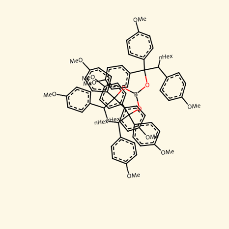 CCCCCCC(c1ccc(OC)cc1)C(OB(OC(c1ccc(OC)cc1)(c1ccc(OC)cc1)C(CCCCCC)c1ccc(OC)cc1)OC(c1ccc(OC)cc1)(c1ccc(OC)cc1)C(CCCCCC)c1ccc(OC)cc1)(c1ccc(OC)cc1)c1ccc(OC)cc1